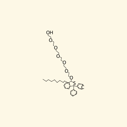 CCCCCCCCCCC(OCCOCCOCCOCCOCCOCCO)SC(c1ccccc1)(c1ccccc1)c1ccccc1